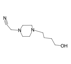 N#CCN1CCN(CCCCO)CC1